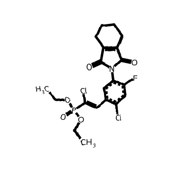 CCOP(=O)(OCC)C(Cl)=Cc1cc(N2C(=O)C3=C(CCCC3)C2=O)c(F)cc1Cl